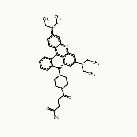 CCN(CC)c1ccc2c(-c3ccccc3C(=O)N3CCN(C(=O)CCC(=O)O)CC3)c3ccc(=[N+](CC)CC)cc-3oc2c1